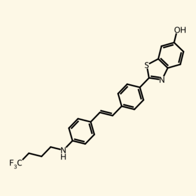 Oc1ccc2nc(-c3ccc(C=Cc4ccc(NCCCC(F)(F)F)cc4)cc3)sc2c1